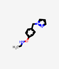 CCNOc1ccc(Cn2cccn2)cc1